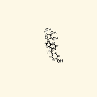 OC[C@H]1O[C@@H](n2cnc3c(NC4CCC(O)CC4)ncnc32)[C@@H](O)[C@H]1O